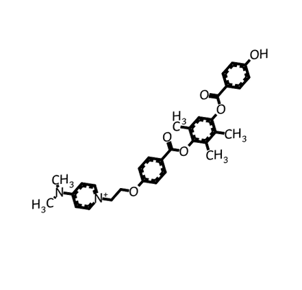 Cc1cc(OC(=O)c2ccc(O)cc2)c(C)c(C)c1OC(=O)c1ccc(OCC[n+]2ccc(N(C)C)cc2)cc1